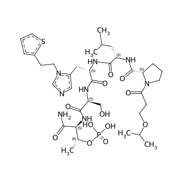 CC(C)C[C@H](NC(=O)[C@@H]1CCCN1C(=O)CCOC(C)C)C(=O)N[C@@H](Cc1cncn1CCc1cccs1)C(=O)N[C@@H](CO)C(=O)N[C@H](C(N)=O)[C@@H](C)OP(=O)(O)O